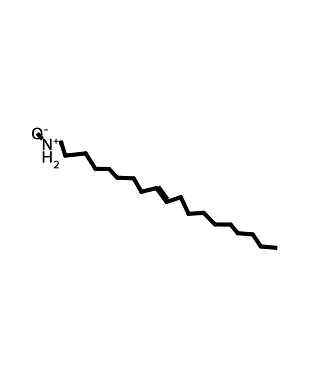 CCCCCCCCCC=CCCCCCCCC[NH2+][O-]